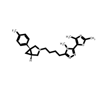 Cc1nc(C)c(-c2nnc(CCCCN3C[C@@H]4C[C@]4(c4ccc(C(F)(F)F)cc4)C3)n2C)o1